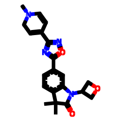 CN1C=CC(c2noc(-c3ccc4c(c3)N(C3COC3)C(=O)C4(C)C)n2)=CC1